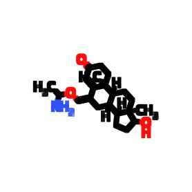 CC(N)O/C=C1/C[C@@H]2[C@H](CC[C@]3(C)C(O)CC[C@@H]23)[C@@]2(C)CCC(=O)C=C12